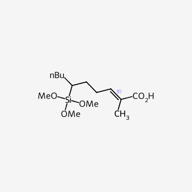 CCCCC(CC/C=C(\C)C(=O)O)[Si](OC)(OC)OC